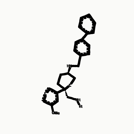 CCNC[C@]1(c2cccc(OC)c2)CC[C@@H](NCc2ccc(-c3ccccc3)cc2)CC1